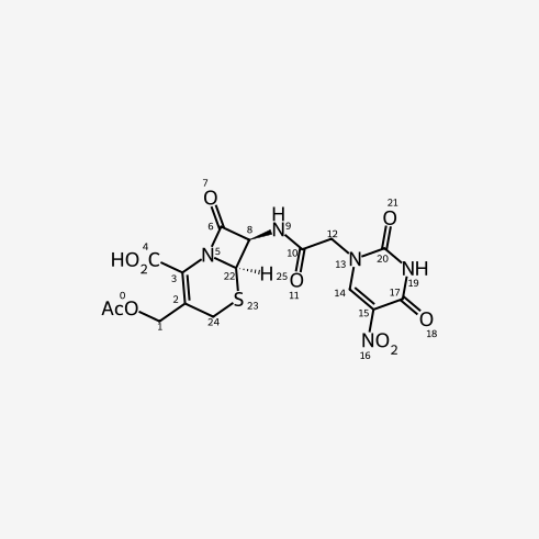 CC(=O)OCC1=C(C(=O)O)N2C(=O)[C@@H](NC(=O)Cn3cc([N+](=O)[O-])c(=O)[nH]c3=O)[C@H]2SC1